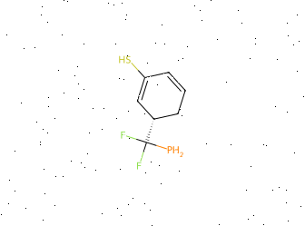 FC(F)(P)[C@@H]1C=C(S)C=CC1